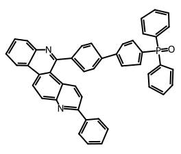 O=P(c1ccccc1)(c1ccccc1)c1ccc(-c2ccc(-c3nc4ccccc4c4ccc5nc(-c6ccccc6)ccc5c34)cc2)cc1